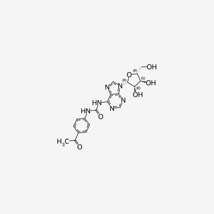 CC(=O)c1ccc(NC(=O)Nc2ncnc3c2ncn3[C@@H]2O[C@H](CO)[C@@H](O)[C@H]2O)cc1